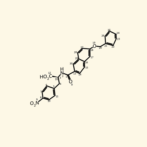 O=C(N[C@@H](Cc1ccc([N+](=O)[O-])cc1)C(=O)O)c1ccc2cc(OCc3ccccc3)ccc2c1